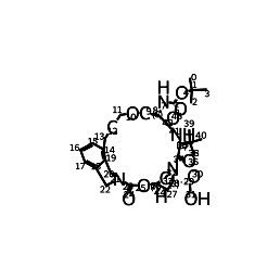 CC(C)(C)OC(=O)N[C@H]1COCCCc2cccc3c2CN(C3)C(=O)O[C@@H]2C[C@@H](C(=O)O)N(C2)C(=O)[C@H](C(C)(C)C)NC1=O